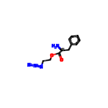 [N-]=[N+]=NCCOC(=O)[C@@H](N)Cc1ccccc1